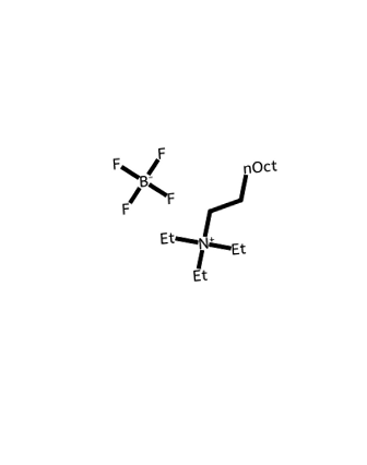 CCCCCCCCCC[N+](CC)(CC)CC.F[B-](F)(F)F